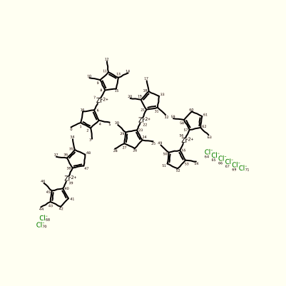 CC1=C(C)C(C)=[C]([Zr+2][C]2=C(C)C(C)=C(C)C2)C1.CC1=C(C)[C]([Zr+2][C]2=C(C)CC(C)=C2C)=C(C)C1.CC1=C(C)[C]([Zr+2][C]2=CCC(C)=C2C)=CC1.CC1=CCC(C)=[C]1[Zr+2][C]1=C(C)CC=C1C.[Cl-].[Cl-].[Cl-].[Cl-].[Cl-].[Cl-].[Cl-].[Cl-]